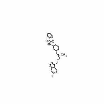 CN(CCCc1noc2cc(F)ccc12)Cc1cccc(NS(=O)(=O)c2cccs2)c1